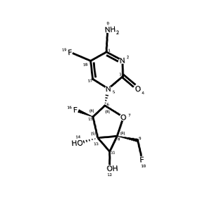 Nc1nc(=O)n([C@@H]2O[C@]3(CF)C(O)[C@@]3(O)[C@H]2F)cc1F